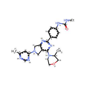 CCNC(=O)Nc1ccc(-c2nc3c(c(N4CCOCC4C)n2)CN(c2cc(C)ncn2)C3)cc1